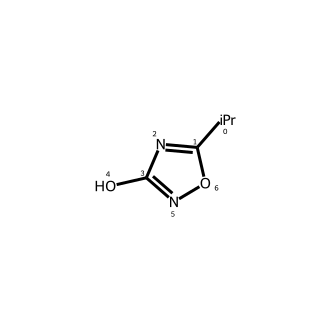 CC(C)c1nc(O)no1